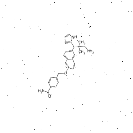 CC(C)(CN)C(c1ccc2cc(OCc3ccc(C(N)=O)cc3)ccc2c1)c1ncc[nH]1